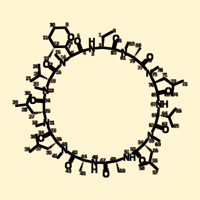 CC[C@@H]1NC(=O)[C@H]([C@@H]2OCCC[C@H]2C)N(C)C(=O)[C@@H](C(C)C)N(C)C(=O)[C@@H](CC(C)C)N(C)C(=O)[C@@H](CC(C)C)N(C)C(=O)[C@@H](C)NC(=O)[C@@H](C)NC(=O)[C@@H](CC(C)C)N(C)C(=O)[C@@H](C(C)C)NC(=O)[C@H](CC(C)C)N(C)C(=O)[C@@H](C)N(C)C1=O